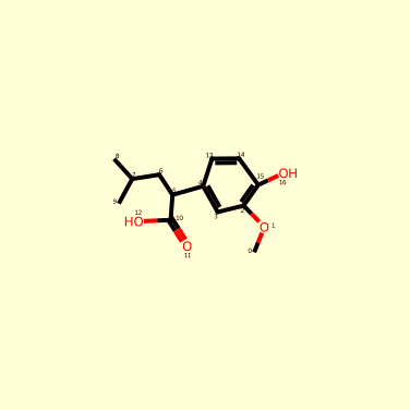 COc1cc(C(CC(C)C)C(=O)O)ccc1O